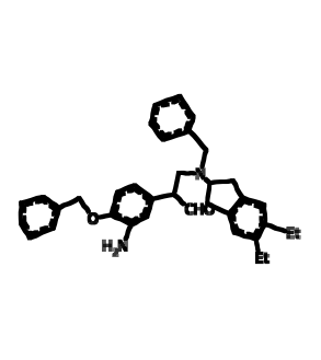 CCc1cc2c(cc1CC)CC(N(Cc1ccccc1)CC(C=O)c1ccc(OCc3ccccc3)c(N)c1)C2